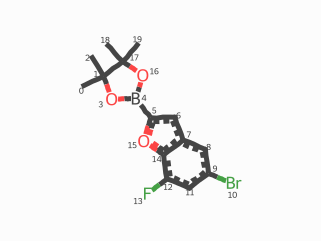 CC1(C)OB(c2cc3cc(Br)cc(F)c3o2)OC1(C)C